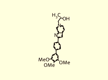 COc1cc(-c2ccc(-c3cc4ccn(C[C@H](C)O)cc-4n3)cc2)cc(OC)c1OC